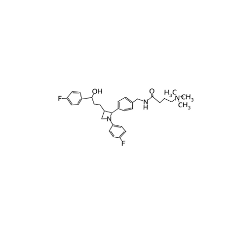 C[N+](C)(C)CCCC(=O)NCc1ccc(C2C(CCC(O)c3ccc(F)cc3)CN2c2ccc(F)cc2)cc1